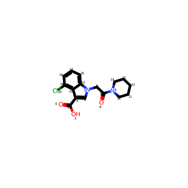 O=C(O)c1cn(CC(=O)N2CCCCC2)c2cccc(Cl)c12